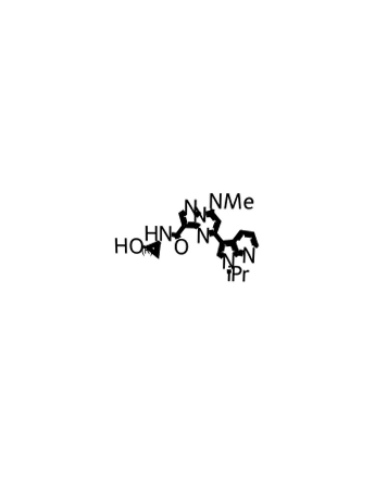 CNc1cc(-c2cn(C(C)C)c3ncccc23)nc2c(C(=O)NC3=C[C@H]3O)cnn12